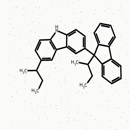 CCC(C)c1ccc2[nH]c3ccc(C4(C(C)CC)c5ccccc5-c5ccccc54)cc3c2c1